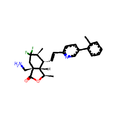 Cc1ccccc1-c1ccc(/C=C/[C@@H]2[C@@H]3[C@@H](C)OC(=O)[C@]3(CN)CC(F)(F)[C@H]2C)nc1